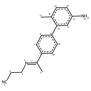 C/C(=N\CCC#N)c1ccc(-c2cc(N)ccc2C)cc1